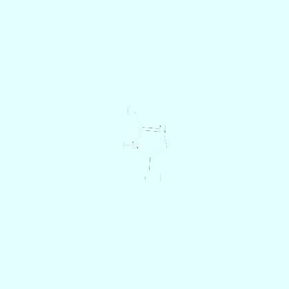 Oc1cnc(S)[nH]1